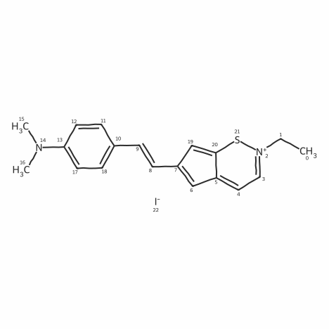 CC[n+]1ccc2cc(C=Cc3ccc(N(C)C)cc3)cc-2s1.[I-]